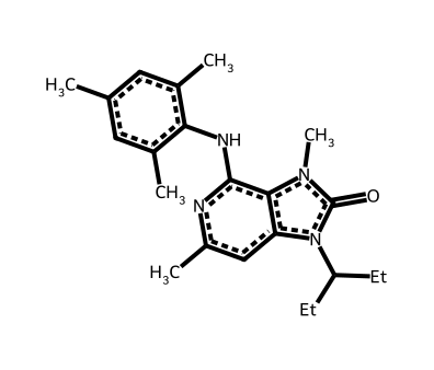 CCC(CC)n1c(=O)n(C)c2c(Nc3c(C)cc(C)cc3C)nc(C)cc21